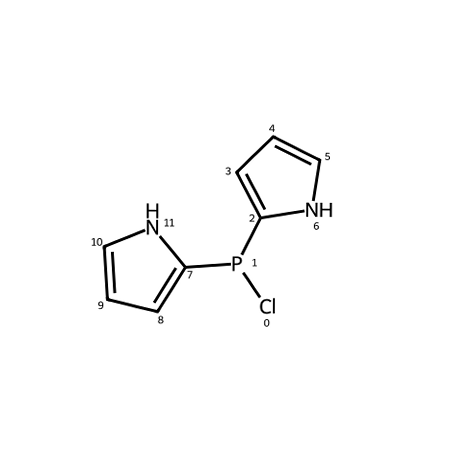 ClP(c1ccc[nH]1)c1ccc[nH]1